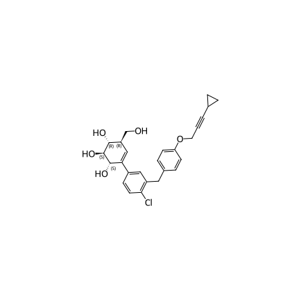 OC[C@H]1C=C(c2ccc(Cl)c(Cc3ccc(OCC#CC4CC4)cc3)c2)[C@H](O)[C@@H](O)[C@@H]1O